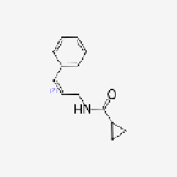 O=C(NC/C=C\c1ccccc1)C1CC1